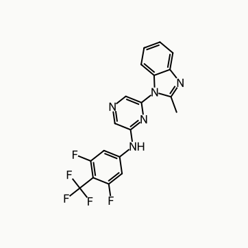 Cc1nc2ccccc2n1-c1cncc(Nc2cc(F)c(C(F)(F)F)c(F)c2)n1